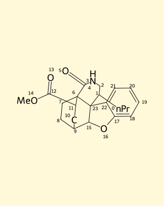 CCCC1CNC(=O)C23CCC(CC2C(=O)OC)C2Oc4ccccc4C123